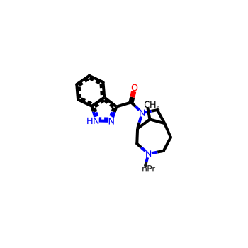 CCCN1CCC2CN(C(=O)c3n[nH]c4ccccc34)C(C1)C2C